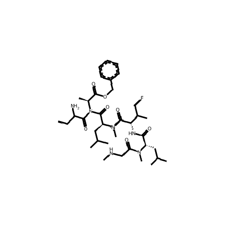 CCC(N)C(=O)N(C(=O)[C@H](CC(C)C)N(C)C(=O)[C@@H](NC(=O)[C@H](CC(C)C)N(C)C(=O)CNC)C(C)CF)[C@@H](C)C(=O)OCc1ccccc1